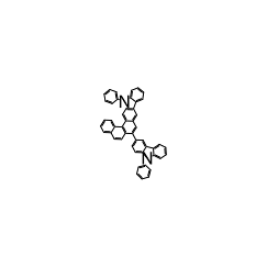 c1ccc(-n2c3ccccc3c3cc(-c4cc5cc6c7ccccc7n(-c7ccccc7)c6cc5c5c4ccc4ccccc45)ccc32)cc1